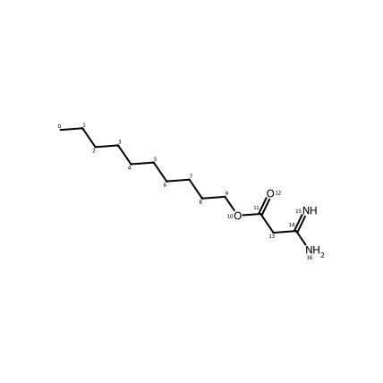 CCCCCCCCCCOC(=O)CC(=N)N